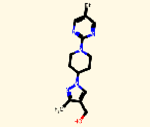 CCc1cnc(N2CCC(n3cc(CO)c(C(F)(F)F)n3)CC2)nc1